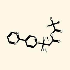 CC(C)(CC(=O)OC(=O)C(F)(F)F)[n+]1ccc(-c2ncccn2)cn1